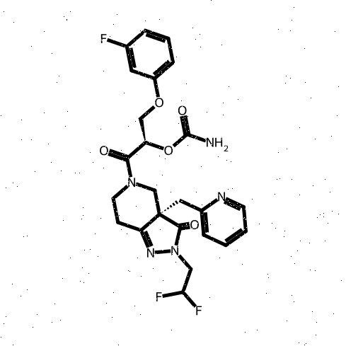 NC(=O)O[C@H](COc1cccc(F)c1)C(=O)N1CCC2=NN(CC(F)F)C(=O)[C@]2(Cc2ccccn2)C1